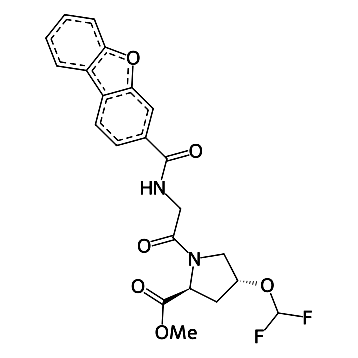 COC(=O)[C@@H]1C[C@@H](OC(F)F)CN1C(=O)CNC(=O)c1ccc2c(c1)oc1ccccc12